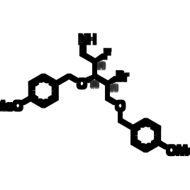 COc1ccc(COC[C@H](Br)[C@@H](OCc2ccc(OC)cc2)[C@H](F)C=N)cc1